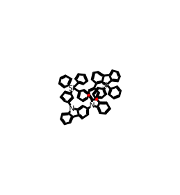 c1ccc([Si](c2ccccc2)(c2ccccc2)c2cccc(-n3c4ccccc4c4ccc(-n5c6ccccc6c6cc(-c7cccc8c7[Si](c7ccccc7)(c7ccccc7)c7ccccc7-8)ccc65)cc43)c2)cc1